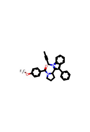 CC#CCn1c(C2CCCN2C(=O)c2ccc(OC(F)(F)F)cc2)c(-c2ccccc2)c2ccccc21